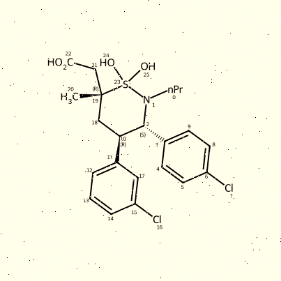 CCCN1[C@H](c2ccc(Cl)cc2)[C@@H](c2cccc(Cl)c2)C[C@](C)(CC(=O)O)S1(O)O